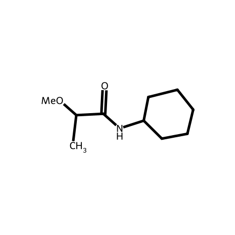 COC(C)C(=O)NC1CCCCC1